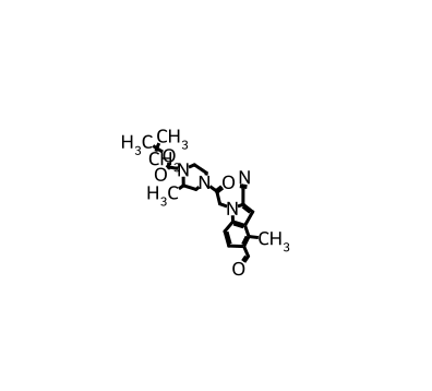 Cc1c(C=O)ccc2c1cc(C#N)n2CC(=O)N1CCN(C(=O)OC(C)(C)C)C(C)C1